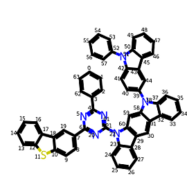 c1ccc(-c2nc(-c3ccc4sc5ccccc5c4c3)nc(-n3c4ccccc4c4cc5c6ccccc6n(-c6ccc7c(c6)c6ccccc6n7-c6ccccc6)c5cc43)n2)cc1